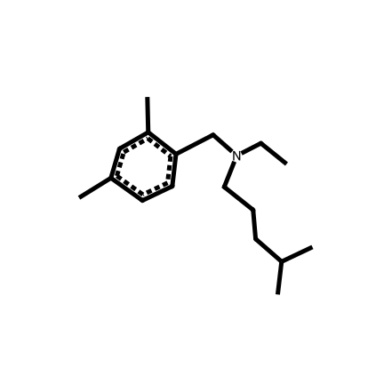 CCN(CCCC(C)C)Cc1ccc(C)cc1C